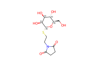 O=C1CCC(=O)N1CCS[C@H]1O[C@H](CO)[C@@H](O)[C@H](O)[C@@H]1O